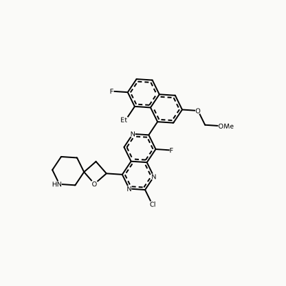 CCc1c(F)ccc2cc(OCOC)cc(-c3ncc4c(C5CC6(CCCNC6)O5)nc(Cl)nc4c3F)c12